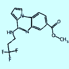 COC(=O)c1ccc2c(c1)nc(NCCC(F)(F)F)c1cccn12